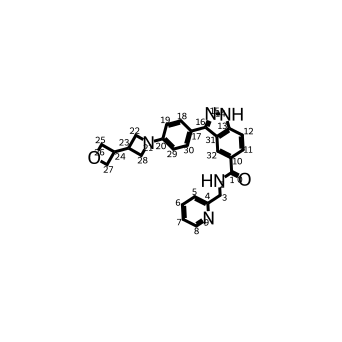 O=C(NCc1ccccn1)c1ccc2[nH]nc(-c3ccc(N4CC(C5COC5)C4)cc3)c2c1